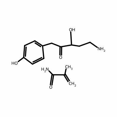 C=C(C)C(N)=O.NCCC(O)C(=O)Cc1ccc(O)cc1